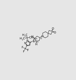 CC(C)(C)n1nc(C(F)(F)F)cc1[C@H]1[C@@H]2C[C@@H](N3CCC4(CC3)CS(=O)(=O)C4)C[C@@H]21